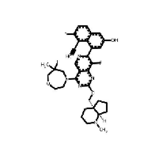 C#Cc1c(F)ccc2cc(O)cc(-c3ncc4c(N5CCOCC(C)(F)C5)nc(OC[C@]56CCC[C@H]5N(C)CCC6)nc4c3F)c12